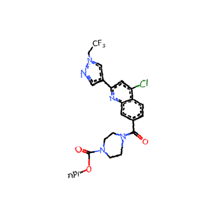 CCCOC(=O)N1CCN(C(=O)c2ccc3c(Cl)cc(-c4cnn(CC(F)(F)F)c4)nc3c2)CC1